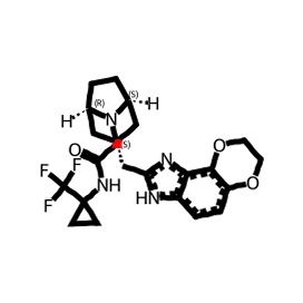 O=C(CN1[C@@H]2CC[C@H]1C[C@H](Cc1nc3c4c(ccc3[nH]1)OCCO4)C2)NC1(C(F)(F)F)CC1